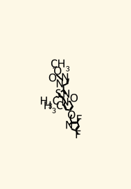 CCOC(=O)c1nccc(-c2nc(-n3c(C)cc(OCc4ncc(F)cc4F)cc3=O)c(C)s2)n1